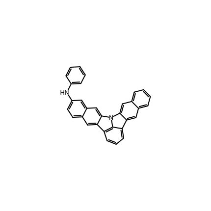 c1ccc(Nc2ccc3cc4c5cccc6c7cc8ccccc8cc7n(c4cc3c2)c65)cc1